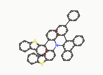 c1ccc(-c2cccc(-c3c(N(c4ccc5sc6ccccc6c5c4)c4ccccc4-c4cccc5c4sc4ccccc45)c4ccccc4c4ccccc34)c2)cc1